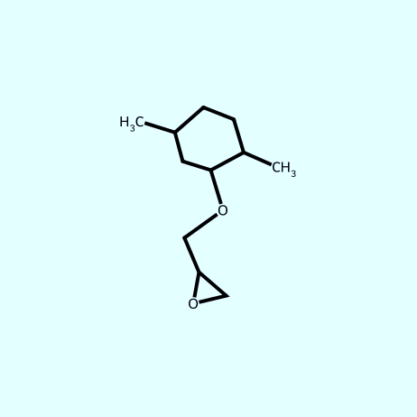 CC1CCC(C)C(OCC2CO2)C1